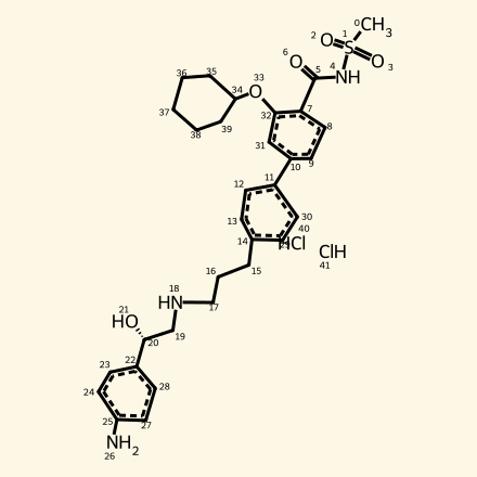 CS(=O)(=O)NC(=O)c1ccc(-c2ccc(CCCNC[C@@H](O)c3ccc(N)cc3)cc2)cc1OC1CCCCC1.Cl.Cl